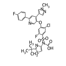 Cn1cc(-c2cc(-c3ccc(F)cc3)ncc2Oc2cc(F)c(S(=O)(=O)N(C(=O)O)c3csc(C(C)(C)C)n3)cc2Cl)cn1